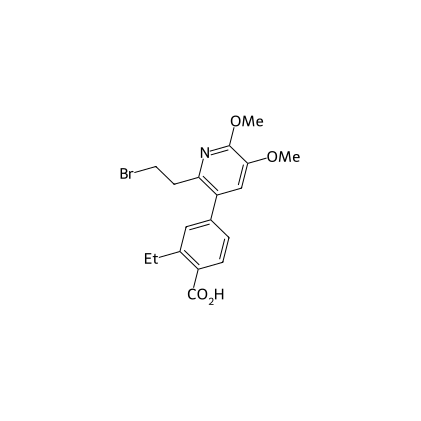 CCc1cc(-c2cc(OC)c(OC)nc2CCBr)ccc1C(=O)O